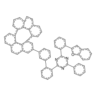 c1ccc(-c2nc(-c3ccccc3-c3cccc(-c4cc5ccc6cccc7c8cccc9ccc%10cccc(c(c4)c5c67)c%10c98)c3)nc(-c3ccccc3-c3cc4ccccc4o3)n2)cc1